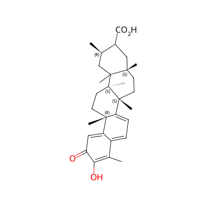 CC1=C(O)C(=O)C=C2C1=CC=C1[C@@]2(C)CC[C@@]2(C)C3(C)C[C@@H](C)C(C(=O)O)C[C@]3(C)CC[C@]12C